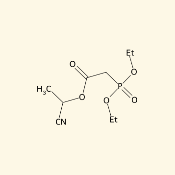 CCOP(=O)(CC(=O)OC(C)C#N)OCC